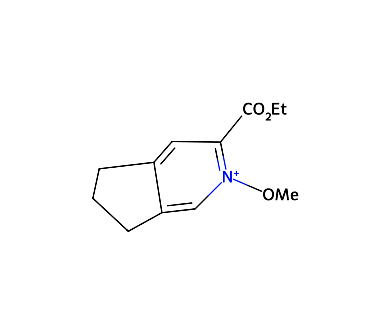 CCOC(=O)c1cc2c(c[n+]1OC)CCC2